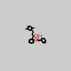 Cc1ccc(C)c(CCC(O)c2ccccc2OCc2ccccc2)c1